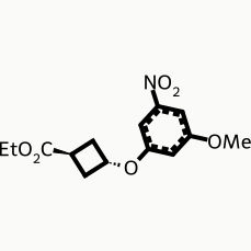 CCOC(=O)[C@H]1C[C@H](Oc2cc(OC)cc([N+](=O)[O-])c2)C1